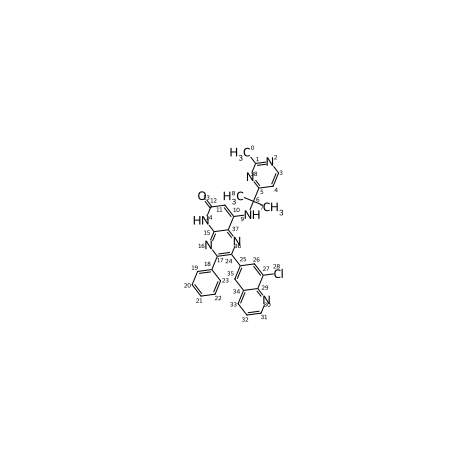 Cc1nccc(C(C)(C)Nc2cc(=O)[nH]c3nc(-c4ccccc4)c(-c4cc(Cl)c5ncccc5c4)nc23)n1